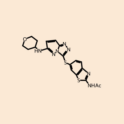 CC(=O)Nc1nc2ccc(Sc3nnc4ccc(NC5CCOCC5)nn34)cc2s1